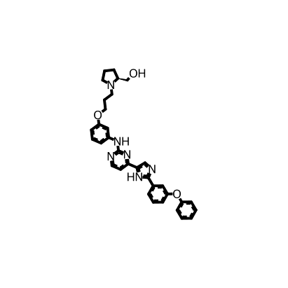 OC[C@@H]1CCCN1CCCOc1cccc(Nc2nccc(-c3cnc(-c4cccc(Oc5ccccc5)c4)[nH]3)n2)c1